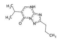 CCCc1nc2[nH]cc(C(C)C)c(=O)n2n1